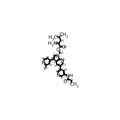 C=CC(=O)Nc1cncc(-c2cnc3c(c2)c(-c2ccnc(F)c2)cn3COC(=O)C(N)CC(C)C)c1